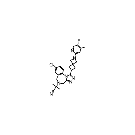 Cc1cc(N2CC3(CC(c4nnc5n4-c4ccc(Cl)cc4CN(C(C)(C)C#N)C5)C3)C2)ncc1F